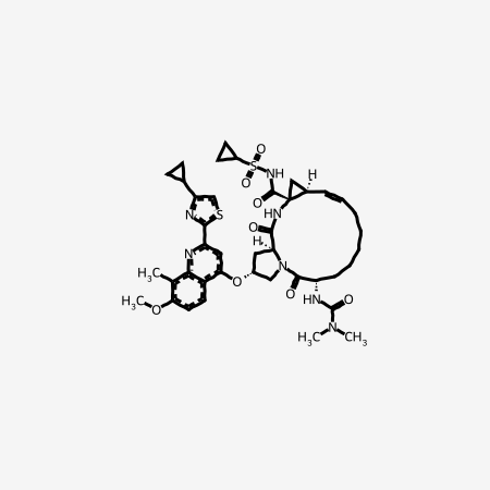 COc1ccc2c(O[C@@H]3C[C@H]4C(=O)N[C@]5(C(=O)NS(=O)(=O)C6CC6)C[C@H]5C=CCCCCC[C@H](NC(=O)N(C)C)C(=O)N4C3)cc(-c3nc(C4CC4)cs3)nc2c1C